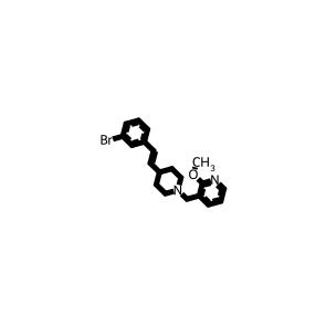 COc1ncccc1CN1CCC(C=Cc2cccc(Br)c2)CC1